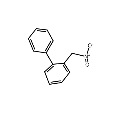 O=[N+]([O-])Cc1ccccc1-c1ccccc1